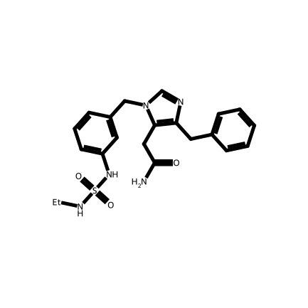 CCNS(=O)(=O)Nc1cccc(Cn2cnc(Cc3ccccc3)c2CC(N)=O)c1